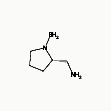 BN1CCC[C@H]1CN